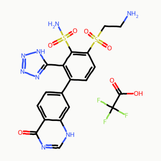 NCCS(=O)(=O)c1ccc(-c2ccc3c(=O)nc[nH]c3c2)c(-c2nnn[nH]2)c1S(N)(=O)=O.O=C(O)C(F)(F)F